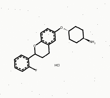 Cl.N[C@H]1CC[C@H](Oc2ccc3c(c2)CCC(c2ccccc2F)O3)CC1